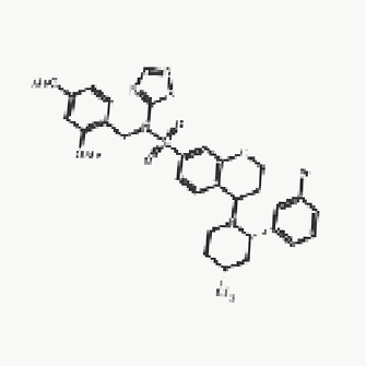 COc1ccc(CN(c2ncns2)S(=O)(=O)c2ccc3c(c2)OCCC3N2CC[C@@H](C(F)(F)F)C[C@H]2c2cccc(Br)c2)c(OC)c1